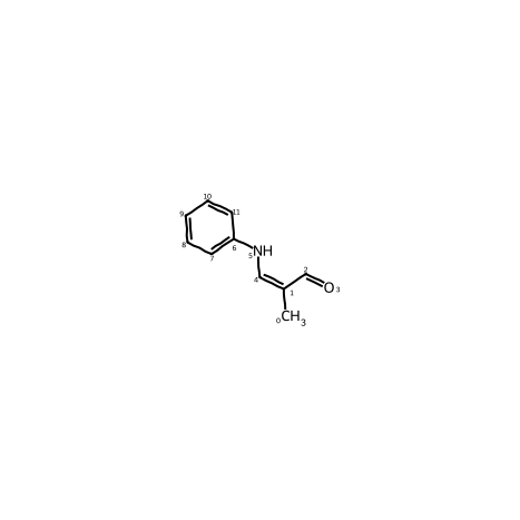 CC(C=O)=CNc1ccccc1